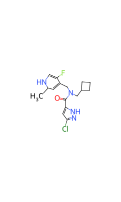 CC1C=C(CN(CC2CCC2)C(=O)c2cc(Cl)n[nH]2)C(F)=CN1